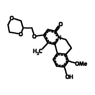 COc1c(O)ccc2c1CCn1c-2c(C)c(OCC2COCCO2)cc1=O